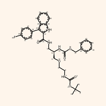 CC(C)(C)OC(=O)NCCOC[C@@H](CNC(=O)c1[nH]c2ccccc2c1-c1ccc(F)cc1)NC(=O)OCc1ccccc1